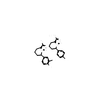 Nc1nnn2c1CCCC2c1ccc(Cl)c(Cl)c1.Nc1nnn2c1CCCC2c1ccc(Cl)cc1